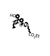 CCOC(=O)CCCCCN1CCCN(C(=O)c2cccc(C(c3cccc(O)c3)N3C[C@@H](C)N(CC4CC4)C[C@@H]3C)c2)CC1